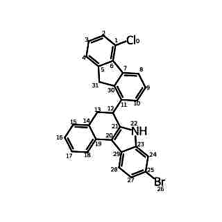 Clc1cccc2c1-c1cccc(C3Cc4ccccc4-c4c3[nH]c3cc(Br)ccc43)c1C2